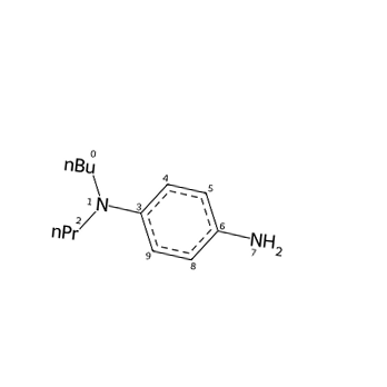 CCCCN(CCC)c1ccc(N)cc1